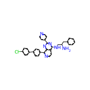 NC(CNc1nc(-c2ccncc2)nc2c(-c3ccc(-c4ccc(Cl)cc4)cc3)nccc12)Cc1ccccc1